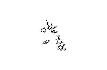 CCCn1c(-c2ccccn2)cc(C(=O)NCCCN2CCN(c3cccc(Cl)c3Cl)CC2)c1C.Cl.Cl